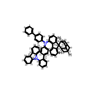 c1ccc(-c2ccc(N(c3ccc(-c4ccccc4-n4c5ccccc5c5ccccc54)cc3)c3cccc4c3-c3ccccc3C43[C@H]4CC5C[C@H](C4)C[C@@H]3C5)cc2)cc1